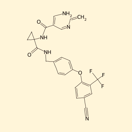 C=C/N=C\C(=C/N)C(=O)NC1(C(=O)NCc2ccc(Oc3ccc(C#N)cc3C(F)(F)F)cc2)CC1